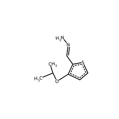 CC(C)Oc1ccsc1/C=N/N